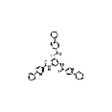 O=C(Nc1cc(NC(=O)c2ccc(-c3ccccc3)nc2)cc(NC(=O)c2ccc(-c3ccccc3)nc2)c1)c1ccc(-c2ccccc2)nc1